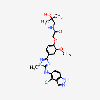 COC1CC(c2nc(Nc3ccc4[nH]ncc4c3Cl)n(C)n2)=CC=C1OCC(=O)NCC(C)(C)O